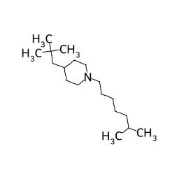 CC(C)CCCCCN1CCC(CC(C)(C)C)CC1